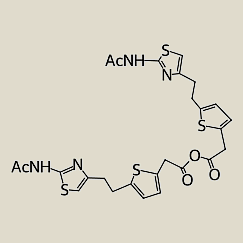 CC(=O)Nc1nc(CCc2ccc(CC(=O)OC(=O)Cc3ccc(CCc4csc(NC(C)=O)n4)s3)s2)cs1